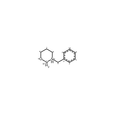 c1ccc(C[SiH]2CCCO[SiH2]2)cc1